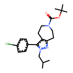 CC(C)Cn1nc2c(c1-c1ccc(Cl)cc1)CCN(C(=O)OC(C)(C)C)CC2